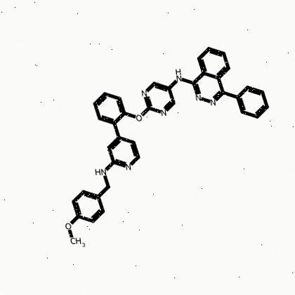 COc1ccc(CNc2cc(-c3ccccc3Oc3ncc(Nc4nnc(-c5ccccc5)c5ccccc45)cn3)ccn2)cc1